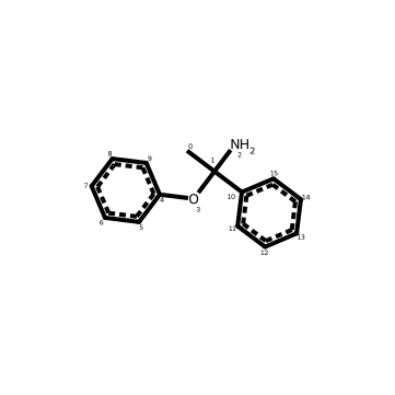 CC(N)(Oc1ccccc1)c1ccccc1